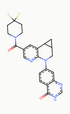 O=C(c1cnc2c(c1)C1CC1CN2c1ccc2c(=O)[nH]cnc2c1)N1CCC(F)(F)CC1